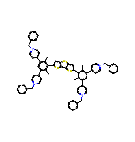 Cc1c(-c2cc[n+](Cc3ccccc3)cc2)cc(-c2cc[n+](Cc3ccccc3)cc2)c(C)c1-c1cc2sc3cc(-c4c(C)c(-c5cc[n+](Cc6ccccc6)cc5)cc(-c5cc[n+](Cc6ccccc6)cc5)c4C)sc3c2s1